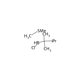 CC(C)C(C)(C)BCl.CSC